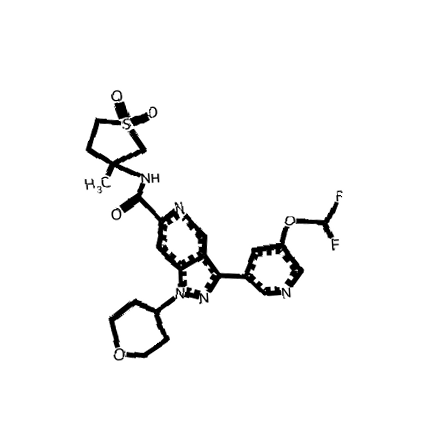 CC1(NC(=O)c2cc3c(cn2)c(-c2cncc(OC(F)F)c2)nn3C2CCOCC2)CCS(=O)(=O)C1